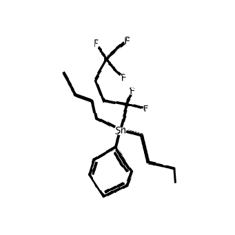 CCC[CH2][Sn]([CH2]CCC)([c]1ccccc1)[C](F)(F)CCC(F)(F)F